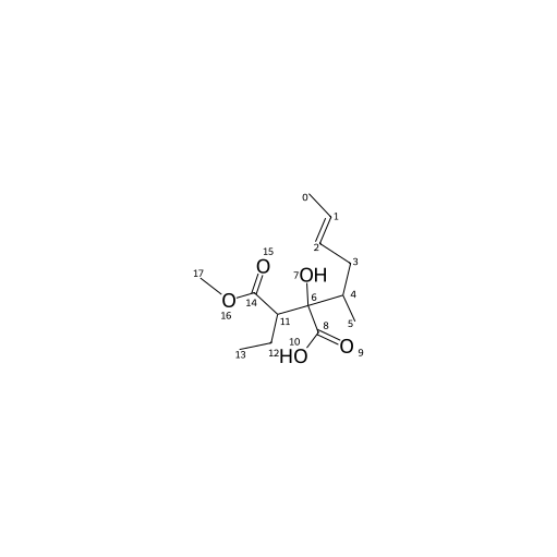 C/C=C/CC(C)C(O)(C(=O)O)C(CC)C(=O)OC